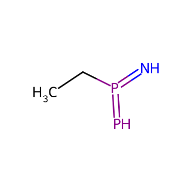 CCP(=N)=P